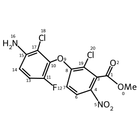 COC(=O)c1c([N+](=O)[O-])ccc(Oc2c(F)ccc(N)c2Cl)c1Cl